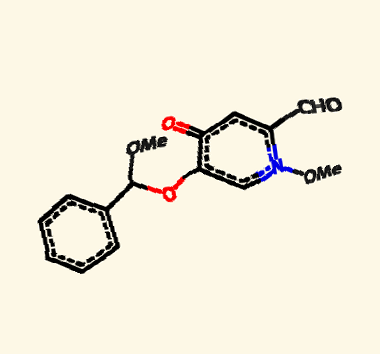 COC(Oc1cn(OC)c(C=O)cc1=O)c1ccccc1